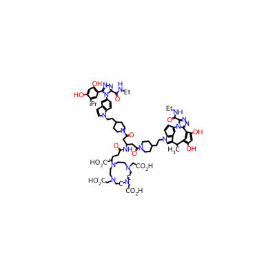 CCNC(=O)c1nnc(-c2cc(C(C)C)c(O)cc2O)n1-c1ccc2c(ccn2CCC2CCN(C(=O)CC(CC(=O)N3CCC(CCn4cc5c6cc(ccc64)-n4c(C(=O)NCC)nnc4-c4cc(c(O)cc4O)C5C)CC3)NC(=O)CC[C@H](C(=O)O)N3CCN(CC(=O)O)CCN(CC(=O)O)CCN(CC(=O)O)CC3)CC2)c1